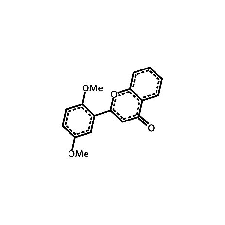 COc1ccc(OC)c(-c2cc(=O)c3ccccc3o2)c1